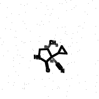 C[C@H]1CNC(=O)[C@]1(C#N)C1CC1